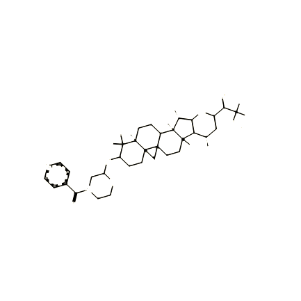 C[C@@H]1CC(C(O)C(C)(C)O)OC2C1C1(C)CCC34CC35CCC(OC3CN(C(=O)c6ccncc6)CCO3)C(C)(C)[C@@H]5CCC4[C@]1(C)[C@H]2O